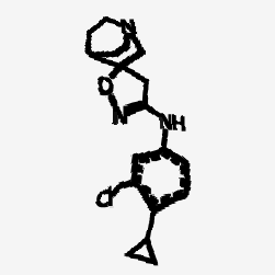 Clc1cc(NC2=NOC3(C2)CN2CCC3CC2)ccc1C1CC1